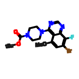 COc1cc(Br)c(F)c2ncnc(N3CCN(C(=O)OC(C)(C)C)CC3)c12